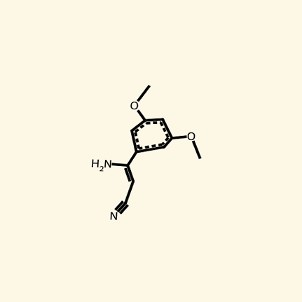 COc1cc(OC)cc(/C(N)=C/C#N)c1